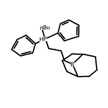 CCCC[PH](CCCB1C2CCCC1CCC2)(c1ccccc1)c1ccccc1